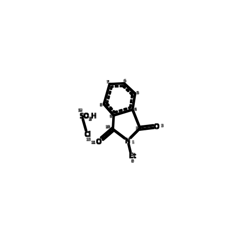 CCN1C(=O)c2ccccc2C1=O.O=S(=O)(O)Cl